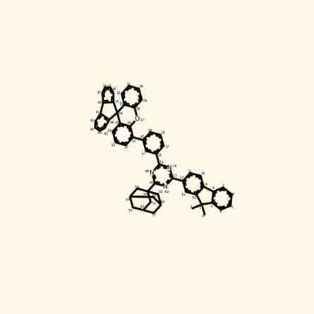 CC1(C)c2ccccc2-c2ccc(-c3nc(-c4cccc(-c5cccc6c5Oc5ccccc5C65c6ccccc6-c6ccccc65)c4)nc(C45CC6CC(CC(C6)C4)C5)n3)cc21